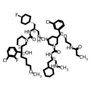 CCC(=O)NCCO[C@@H](c1cccc(Cl)c1)C1CCCN(C(=O)N[C@H](CNC)CC2CCCCC2)C1.CNC[C@H](C[C@H]1CC[C@H](F)CC1)NC(=O)N1CCC[C@@H]([C@@](O)(CCCCOC)c2cccc(Cl)c2F)C1